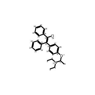 CCN(CC)C(C)Oc1ccc(/C(=C(\Cl)c2ccccc2)c2ccccc2)cc1